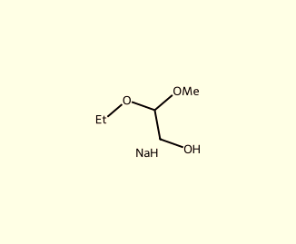 CCOC(CO)OC.[NaH]